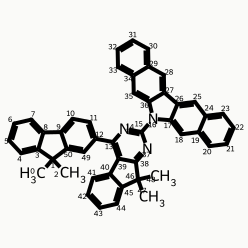 CC1(C)c2ccccc2-c2ccc(-c3nc(-n4c5cc6ccccc6cc5c5cc6ccccc6cc54)nc4c3-c3ccccc3C4(C)C)cc21